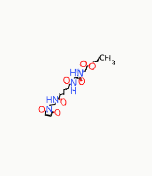 CCCCOC(=O)CNC(=O)CNC(=O)CCCCC(=O)NCCN1C(=O)C=CC1=O